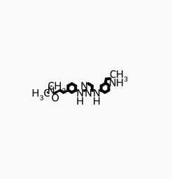 Cc1cc2cc(Nc3ccnc(Nc4cccc(C=CC(=O)N(C)C)c4)n3)ccc2[nH]1